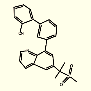 CC(C)(c1cc(-c2cccc(-c3ccccc3C#N)c2)c2ncccc2c1)S(C)(=O)=O